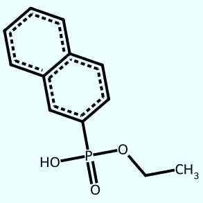 CCOP(=O)(O)c1ccc2ccccc2c1